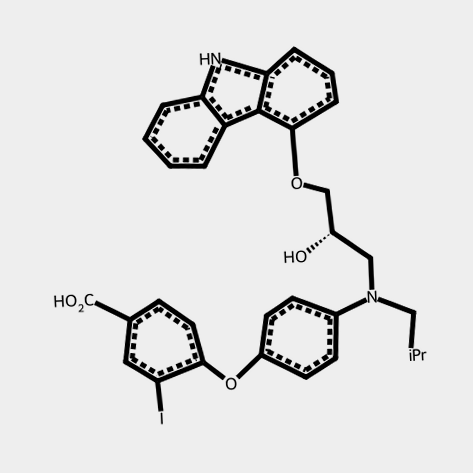 CC(C)CN(C[C@H](O)COc1cccc2[nH]c3ccccc3c12)c1ccc(Oc2ccc(C(=O)O)cc2I)cc1